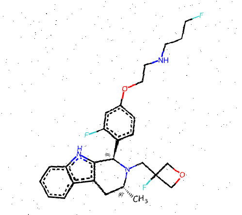 C[C@@H]1Cc2c([nH]c3ccccc23)[C@@H](c2ccc(OCCNCCCF)cc2F)N1CC1(F)COC1